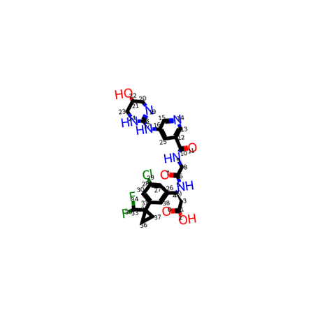 O=C(O)C[C@H](NC(=O)CNC(=O)c1cncc(NC2=NCC(O)CN2)c1)c1cc(Cl)cc(C2(C(F)F)CC2)c1